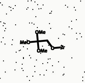 COC(C[O][Zr])(OC)OC